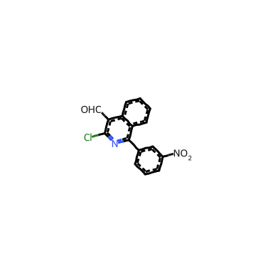 O=Cc1c(Cl)nc(-c2cccc([N+](=O)[O-])c2)c2ccccc12